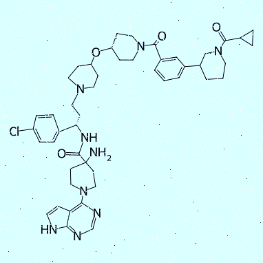 NC1(C(=O)N[C@@H](CCN2CCC(OC3CCN(C(=O)c4cccc(C5CCCN(C(=O)C6CC6)C5)c4)CC3)CC2)c2ccc(Cl)cc2)CCN(c2ncnc3[nH]ccc23)CC1